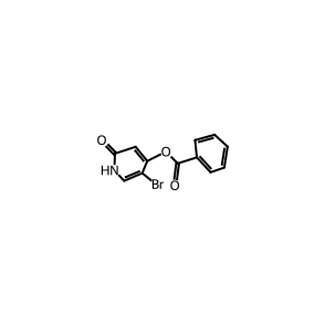 O=C(Oc1cc(=O)[nH]cc1Br)c1ccccc1